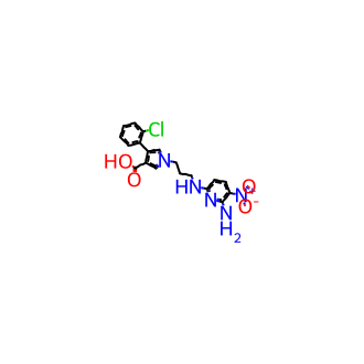 Nc1nc(NCCCn2cc(C(=O)O)c(-c3ccccc3Cl)c2)ccc1[N+](=O)[O-]